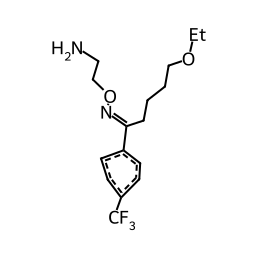 CCOCCCCC(=NOCCN)c1ccc(C(F)(F)F)cc1